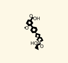 COc1ccc(C(=O)O)cc1-c1ccc([C@H]2C[C@]3(CCN(C(=O)C4(O)CC4)C3)C2)cc1